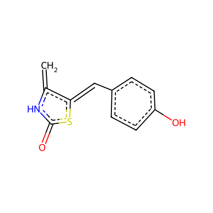 C=c1[nH]c(=O)s/c1=C\c1ccc(O)cc1